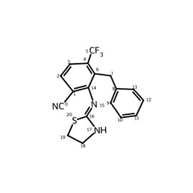 N#Cc1ccc(C(F)(F)F)c(Cc2ccccc2)c1N=C1NCCS1